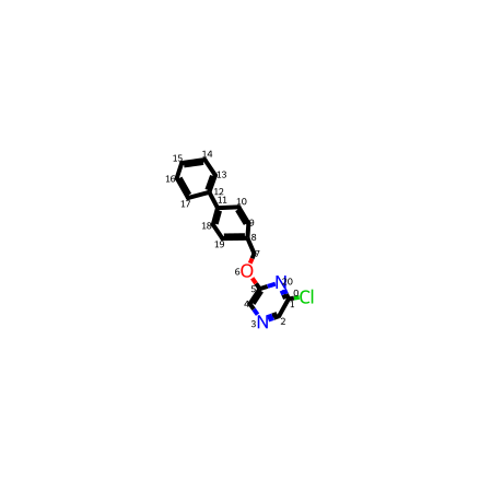 Clc1cncc(OCc2ccc(-c3ccccc3)cc2)n1